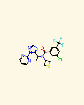 CC(c1ncnn1-c1ncccn1)N(C(=O)c1cc(Cl)cc(C(F)(F)F)c1)C1CSC1